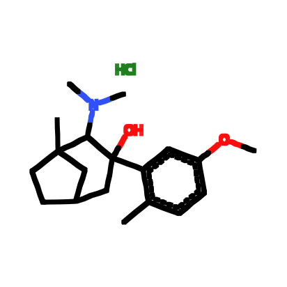 COc1ccc(C)c(C2(O)CC3CCC(C)(C3)C2N(C)C)c1.Cl